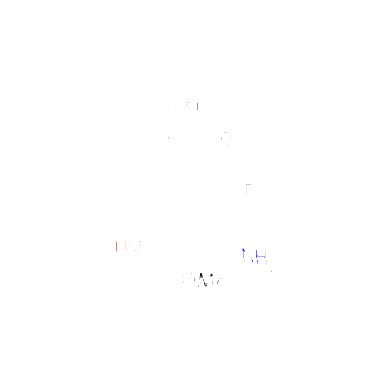 COc1c(O)cc(C(=O)OC(C)(C)C)c(F)c1N